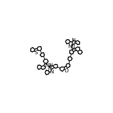 c1ccc2c(c1)ccc1c2c2cc(-c3ccc(-c4ccc5oc6ccc(-c7ccc8nc(-n9c%10ccc(-c%11ccc(-c%12cccc%13c%12sc%12ccccc%12%13)cc%11)cc%10c%10c%11ccccc%11ccc%109)n9c%10ccccc%10nc9c8c7)cc6c5c4)cc3)ccc2n1-c1nc2ccccc2c2nc3ccccc3n12